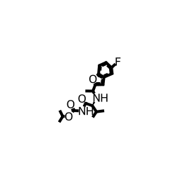 CC(C)OC(=O)NC(=O)[C@@H](NC(C)c1cc2cc(F)ccc2o1)C(C)C